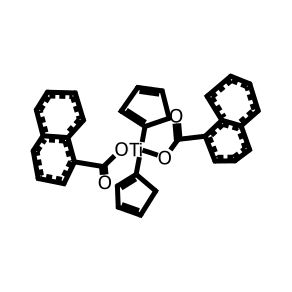 O=C([O][Ti]([O]C(=O)c1cccc2ccccc12)([C]1=CC=CC1)[C]1=CC=CC1)c1cccc2ccccc12